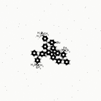 CC(C)(C)c1ccc(N(c2ccc([Si](C)(C)C)cc2)c2cccc(-c3cc4c(c5oc6cc(N(c7ccccc7)c7ccc([Si](C)(C)C)cc7)ccc6c35)-c3ccc(-c5cccc(N(c6ccccc6)c6ccc([Si](C)(C)C)cc6)c5)cc3C43c4ccccc4-c4ccccc43)c2)cc1